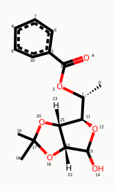 C[C@@H](OC(=O)c1ccccc1)[C@H]1OC(O)[C@@H]2OC(C)(C)O[C@H]12